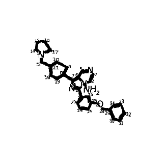 N[N+]12C=CN=CC1=C(C1CCC(CN3CCCC3)CC1)N=C2c1cccc(OCc2ccccc2)c1